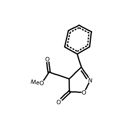 COC(=O)C1C(=O)ON=C1c1ccccc1